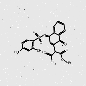 Cc1ccc(S(=O)(=O)/N=C2\C=C(C(C(=O)OC(C)C)C(=O)C(F)(F)F)C(=O)c3ccccc32)c(C)c1